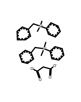 C[N+](C)(Cc1ccccc1)c1ccccc1.C[N+](C)(Cc1ccccc1)c1ccccc1.O=C([O-])CC(=O)[O-]